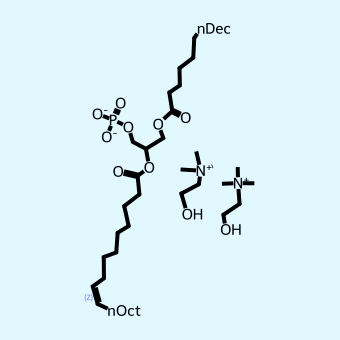 CCCCCCCC/C=C\CCCCCCCC(=O)OC(COC(=O)CCCCCCCCCCCCCCC)COP(=O)([O-])[O-].C[N+](C)(C)CCO.C[N+](C)(C)CCO